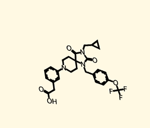 O=C(O)Cc1cccc(N2CCC3(CC2)C(=O)N(CC2CC2)C(=O)N3Cc2ccc(OC(F)(F)F)cc2)c1